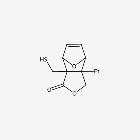 CCC12COC(=O)C1(CS)C1C=CC2O1